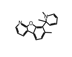 Cc1ccc2c(oc3ncccc32)c1C1(C)C=CC=CN1C